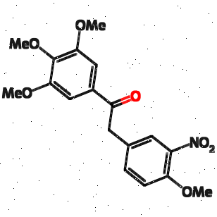 COc1ccc(CC(=O)c2cc(OC)c(OC)c(OC)c2)cc1[N+](=O)[O-]